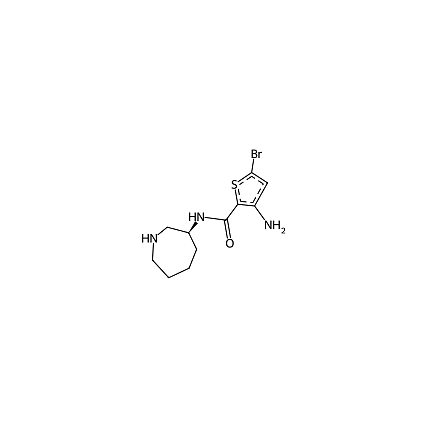 Nc1cc(Br)sc1C(=O)N[C@H]1CCCCNC1